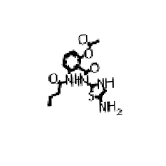 CCCC(=O)Nc1cccc(OC(C)=O)c1C(=O)NC1NC=C(N)S1